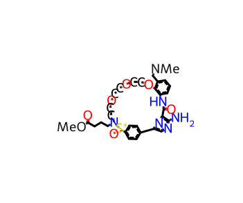 CNCc1cccc2c1OCCOCCOCCN(CCCC(=O)OC)[S+]([O-])c1ccc(cc1)-c1cnc(N)c(n1)C(=O)N2